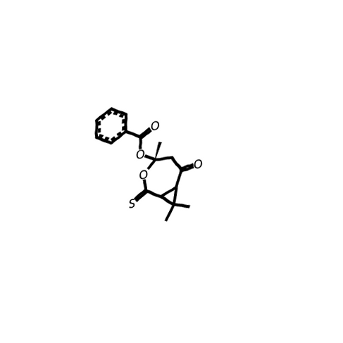 CC1(C)C2C(=O)C[C@@](C)(OC(=O)c3ccccc3)OC(=S)C21